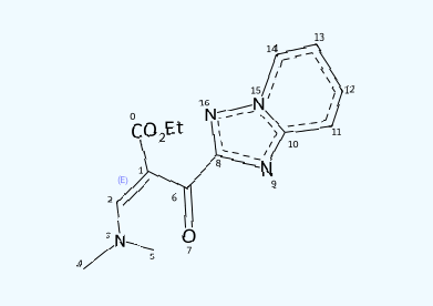 CCOC(=O)/C(=C/N(C)C)C(=O)c1nc2ccccn2n1